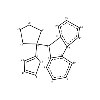 C1=CCC(C2(C3c4ccccc4-c4ccccc43)CCCC2)=C1